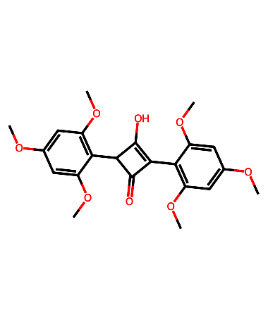 COc1cc(OC)c(C2=C(O)C(c3c(OC)cc(OC)cc3OC)C2=O)c(OC)c1